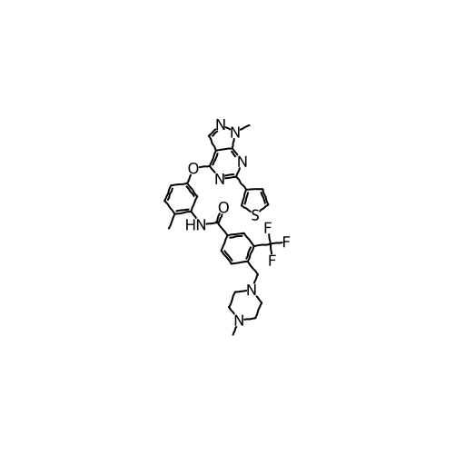 Cc1ccc(Oc2nc(-c3ccsc3)nc3c2cnn3C)cc1NC(=O)c1ccc(CN2CCN(C)CC2)c(C(F)(F)F)c1